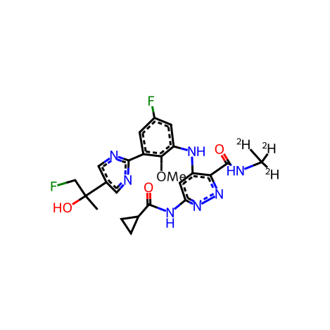 [2H]C([2H])([2H])NC(=O)c1nnc(NC(=O)C2CC2)cc1Nc1cc(F)cc(-c2ncc(C(C)(O)CF)cn2)c1OC